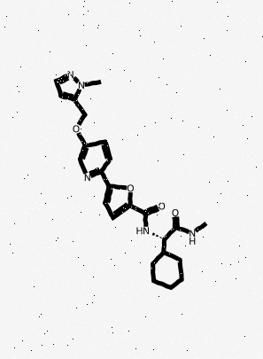 CNC(=O)[C@@H](NC(=O)c1ccc(-c2ccc(OCc3ccnn3C)cn2)o1)C1CCCCC1